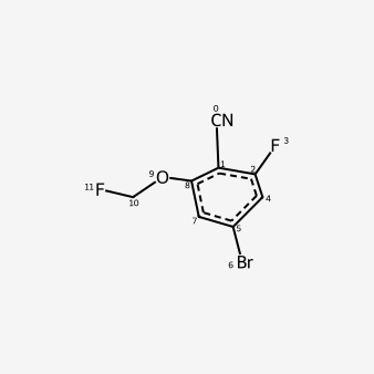 N#Cc1c(F)cc(Br)cc1OCF